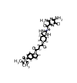 CN(C)S(=O)(=O)c1ccc2c(c1)CCN2C(=O)CCC(=O)N1CCC2(CC1)CN/C(=N\C(=O)c1nc(Cl)c(N)nc1N)N2